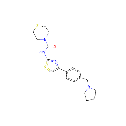 O=C(Nc1nc(-c2ccc(CN3CCCC3)cc2)cs1)N1CCSCC1